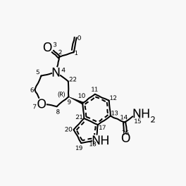 C=CC(=O)N1CCOC[C@H](c2ccc(C(N)=O)c3[nH]ccc23)C1